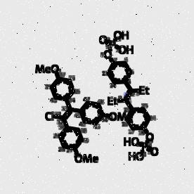 CC/C(=C(/CC)c1ccc(OP(=O)(O)O)cc1)c1ccc(OP(=O)(O)O)cc1.COc1ccc(C(Cl)=C(c2ccc(OC)cc2)c2ccc(OC)cc2)cc1